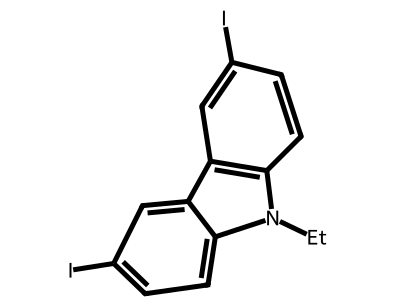 CCn1c2ccc(I)cc2c2cc(I)ccc21